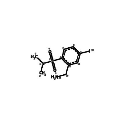 CN(C)S(=O)(=O)c1ccc(I)cc1CN